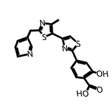 Cc1nc(Cc2cccnc2)sc1-c1csc(-c2ccc(C(=O)O)c(O)c2)n1